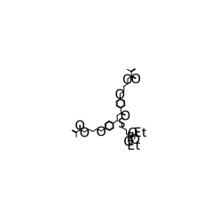 C=C(C)C(=O)OCCCOc1ccc(C(=O)CC(SCCCP(=O)(OCC)OCC)c2ccc(OCCCOC(=O)C(=C)C)cc2)cc1